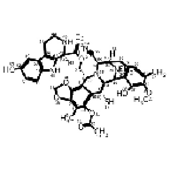 C=C(OC[C@H]1c2c3c(c(C)c(OC(C)=O)c2[C@@H](S)C2C4c5c(cc(C)c(OC)c5O)C[C@H]([C@H](C#N)N21)N4C)OCO3)[C@]1(I)NCCc2c1[nH]c1ccc(O)cc21